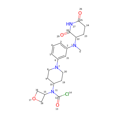 CN(c1cccc(N2CCC(N(C(=O)Cl)C3COC3)CC2)c1)C1CCC(=O)NC1=O